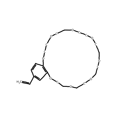 C=Cc1ccc2c(c1)OCCOCCOCCOCCOCCOCCOCCO2